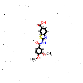 COc1ccc(C(=O)Nc2nc3ccc(C(=O)O)cc3s2)cc1OC